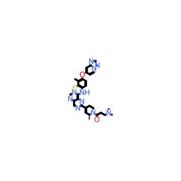 Cc1c(Oc2ccn3ncnc3c2)ccc(Nc2ncnc3cnc(C4=C[C@H](C)N(C(=O)CCN(C)C)CC4)nc23)c1F